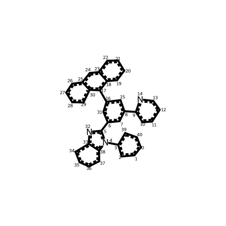 c1ccc(-n2c(-c3cc(-c4ccccn4)cc(-c4c5ccccc5cc5ccccc45)c3)nc3ccccc32)cc1